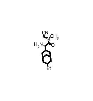 CCC1CC2CC(C1)CC([C@H](N)C(=O)N(C)CC#N)C2